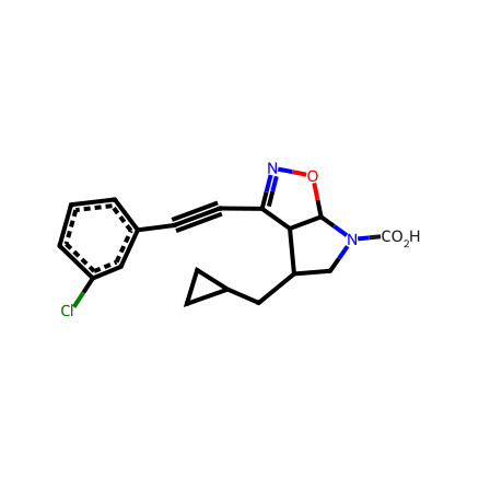 O=C(O)N1CC(CC2CC2)C2C(C#Cc3cccc(Cl)c3)=NOC21